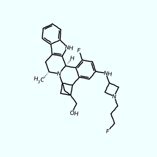 C[C@@H]1Cc2c([nH]c3ccccc23)[C@H]2c3c(F)cc(NC4CN(CCCF)C4)cc3C3C4(CO)CC3(C4)N21